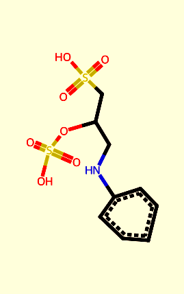 O=S(=O)(O)CC(CNc1ccccc1)OS(=O)(=O)O